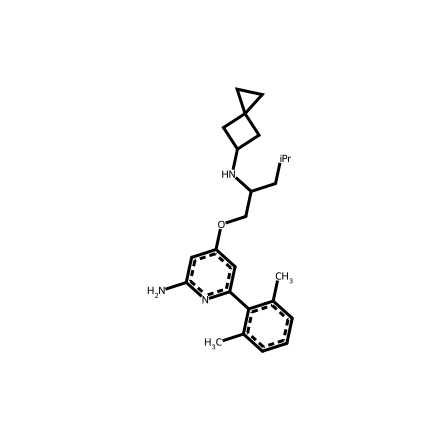 Cc1cccc(C)c1-c1cc(OCC(CC(C)C)NC2CC3(CC3)C2)cc(N)n1